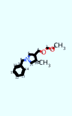 COCOCC1CN(Cc2ccccc2)C[C@H]1C